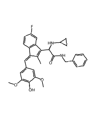 COc1cc(C=C2C(C)=C(C(NC3CC3)C(=O)NCc3ccccc3)c3cc(F)ccc32)cc(OC)c1O